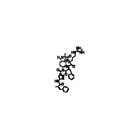 CC(=Cc1ccccc1)C(=O)Nc1cn(C(=O)N(C(=O)[C@H](Cc2ccccc2)NC(=O)[C@H](CCCNC(=N)N)NC(=O)[C@H](C)N)C2CCCCC2)nn1